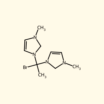 CN1C=CN(C(C)(Br)N2C=CN(C)C2)C1